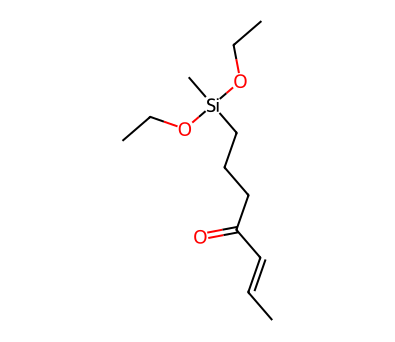 CC=CC(=O)CCC[Si](C)(OCC)OCC